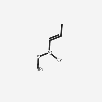 CC=C[S+]([O-])SCCC